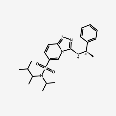 CC(C)C(C)N(C(C)C)S(=O)(=O)c1ccc2nnc(N[C@H](C)c3ccccc3)n2c1